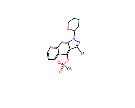 CCc1nn(C2CCCCO2)c2cc3ccccc3c(OS(=O)(=O)C(F)(F)F)c12